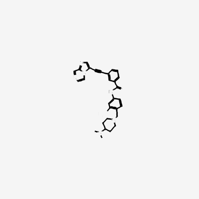 CN(C)C1CCN(Cc2ccc(NC(=O)c3cccc(C#Cc4cnc5cnccn45)c3)cc2C(F)(F)F)CC1